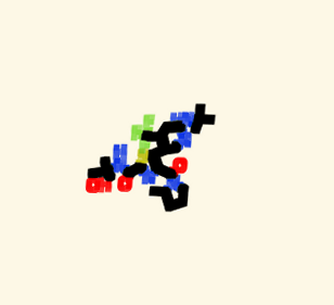 CC1CCCN1C(=O)c1nc(C(=O)NC(C)(C)CO)sc1-c1cnc(NC(C)(C)C)cc1C(F)(F)F